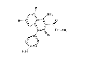 COC(=O)c1c(N)c2c(F)cc(Br)cc2n(-c2ccc(N)cc2)c1=O